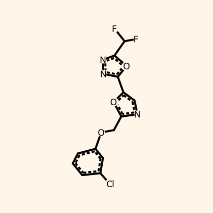 FC(F)c1nnc(-c2cnc(COc3cccc(Cl)c3)o2)o1